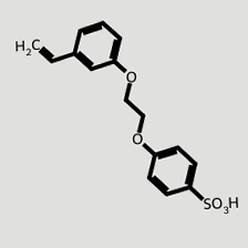 C=Cc1cccc(OCCOc2ccc(S(=O)(=O)O)cc2)c1